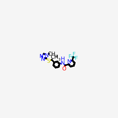 C[C@H](Sc1nncn1C)c1cccc(NC(=O)c2cccc(C(F)(F)F)n2)c1